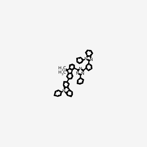 CC1(C)c2cc(-c3ccc4c(c3)c3ccccc3n4-c3ccccc3)ccc2-c2c(-c3nc(-c4ccccc4)nc(-c4cccc(-c5nc6ccccc6n5-c5ccccc5)c4)n3)cccc21